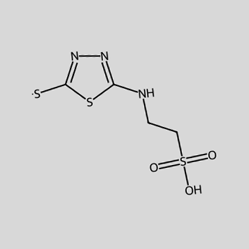 O=S(=O)(O)CCNc1nnc([S])s1